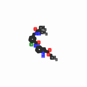 CCOC(=O)c1cc2cc(NC(=O)c3cc(CNC(=O)C(C)C)ccc3Cl)ccc2[nH]1